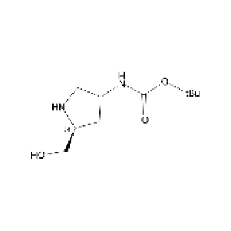 CC(C)(C)OC(=O)NC1CN[C@H](CO)C1